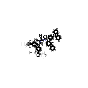 C/C(=C\C(C#N)=C(\C#N)C(C)n1c2ccc(C(C)(C)C)cc2c2cc(C(C)(C)C)ccc21)N1c2ccc(-n3c4c(c5ccccc53)C=CCC4)cc2C2c3oc4c(c3C=CC21)CCC=C4